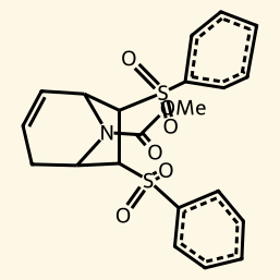 COC(=O)N1C2C=CCC1C(S(=O)(=O)c1ccccc1)C2S(=O)(=O)c1ccccc1